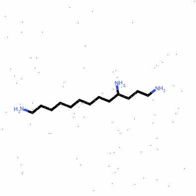 NCCCCCCCCCC(N)CCCN